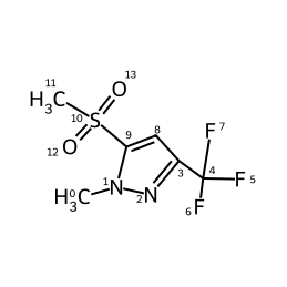 Cn1nc(C(F)(F)F)cc1S(C)(=O)=O